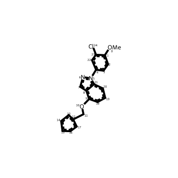 COc1ccc(-n2ncc3c(OCc4ccccc4)cccc32)cc1Cl